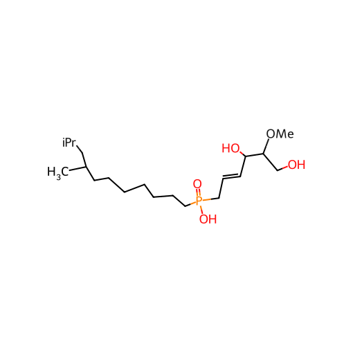 COC(CO)C(O)/C=C/CP(=O)(O)CCCCCCCC(C)CC(C)C